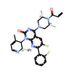 C=CC(=O)N1[C@H](C)CN(c2nc(=O)n(C3C(C)=CC=N[C@H]3C(C)C)c3nc(-c4ccccc4F)c(F)cc23)C[C@@H]1C